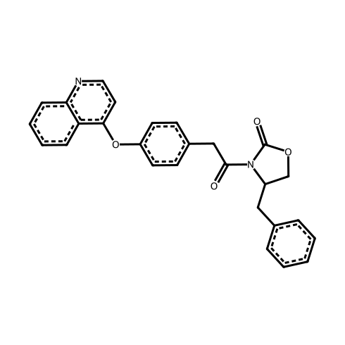 O=C(Cc1ccc(Oc2ccnc3ccccc23)cc1)N1C(=O)OCC1Cc1ccccc1